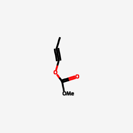 CC#COC(=O)OC